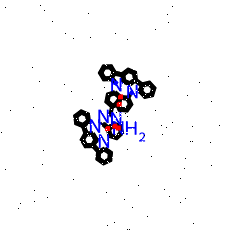 Nc1cc(-n2c3ccccc3c3ccc4c5ccccc5n(-c5ccccc5)c4c32)nc(-c2ccc(-n3c4ccccc4c4ccc5c6ccccc6n(-c6ccccc6)c5c43)cc2)n1